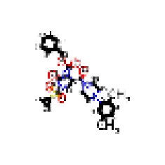 Cc1ccc(C)c(N2CCN(C(=O)[C@@H]3CN(S(=O)(=O)C4CC4)C(=O)N3C(=O)OCc3ccccc3)CC2)c1